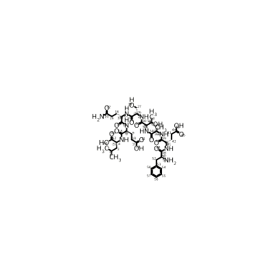 CC(C)C[C@H](NC(=O)[C@H](CCC(=O)O)NC(=O)[C@H](CCC(N)=O)NC(=O)[C@H](CO)NC(=O)[C@@H](NC(=O)[C@H](C)NC(=O)[C@H](CCC(=O)O)NC(=O)[C@@H](N)Cc1ccccc1)[C@@H](C)O)C(=O)O